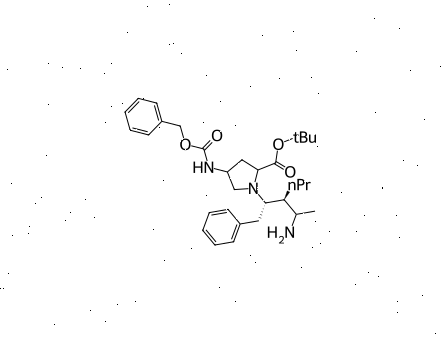 CCC[C@@H](C(C)N)[C@H](Cc1ccccc1)N1CC(NC(=O)OCc2ccccc2)CC1C(=O)OC(C)(C)C